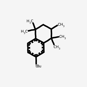 CC1CC(C)(C)c2ccc(C(C)(C)C)cc2C1(C)C